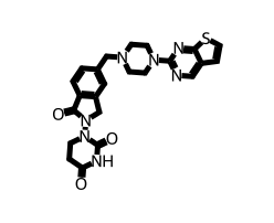 O=C1CCN(N2Cc3cc(CN4CCN(c5ncc6ccsc6n5)CC4)ccc3C2=O)C(=O)N1